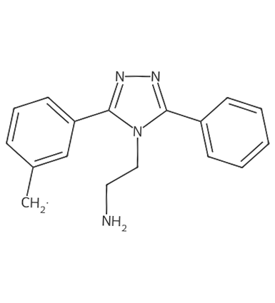 [CH2]c1cccc(-c2nnc(-c3ccccc3)n2CCN)c1